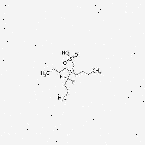 CCCC[N+](CCCC)(CS(=O)(=O)O)C(F)(F)CCC